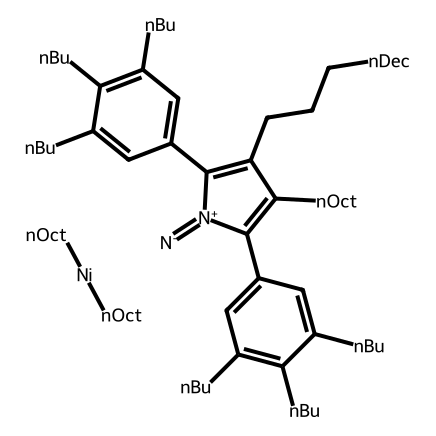 CCCCCCCCCCCCCC1=C(c2cc(CCCC)c(CCCC)c(CCCC)c2)[N+](=[N-])C(c2cc(CCCC)c(CCCC)c(CCCC)c2)=C1CCCCCCCC.CCCCCCC[CH2][Ni][CH2]CCCCCCC